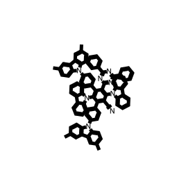 Cc1ccc2c(c1)c1cc(C)ccc1n2-c1ccc(-c2c(C#N)c(-n3c4ccccc4c4ccccc43)c(-c3nc(-c4ccccc4)nc(-c4ccccc4)n3)c(-c3ccc(-n4c5ccc(C)cc5c5cc(C)ccc54)cc3)c2-n2c3ccccc3c3ccccc32)cc1